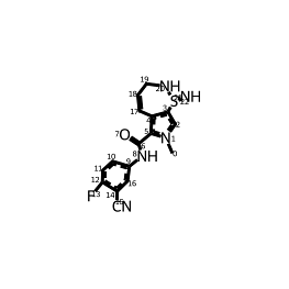 Cn1cc2c(c1C(=O)Nc1ccc(F)c(C#N)c1)C=CCNS2=N